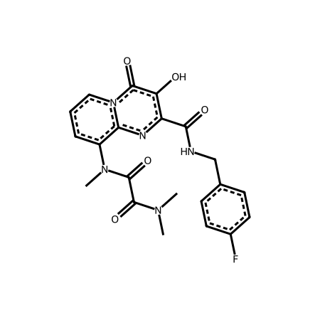 CN(C)C(=O)C(=O)N(C)c1cccn2c(=O)c(O)c(C(=O)NCc3ccc(F)cc3)nc12